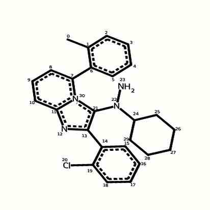 Cc1ccccc1-c1cccc2nc(-c3ccccc3Cl)c(N(N)C3CCCCC3)n12